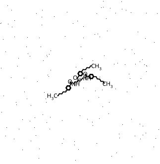 CCCCCCc1ccc(C(=O)NCCN(CCNC(=O)c2ccc(CCCCCC)cc2)C(=O)c2ccc(CCCCCC)cc2)cc1